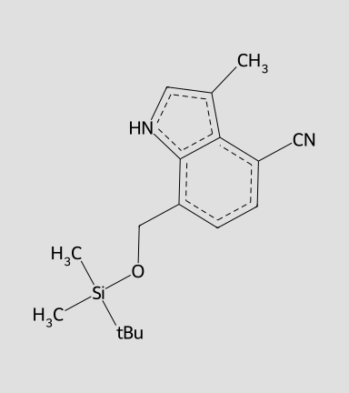 Cc1c[nH]c2c(CO[Si](C)(C)C(C)(C)C)ccc(C#N)c12